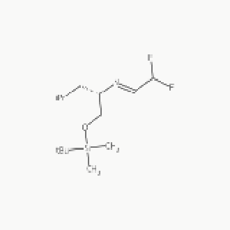 CC(C)C[C@@H](CO[Si](C)(C)C(C)(C)C)/N=C/C(F)F